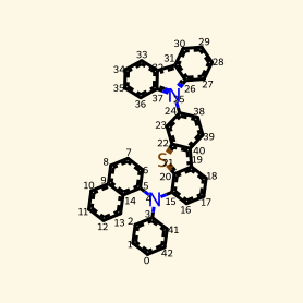 c1ccc(N(c2cccc3ccccc23)c2cccc3c2sc2cc(-n4c5ccccc5c5ccccc54)ccc23)cc1